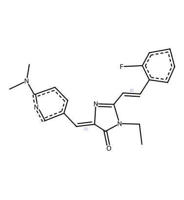 CCN1C(=O)/C(=C/c2ccc(N(C)C)nc2)N=C1/C=C/c1ccccc1F